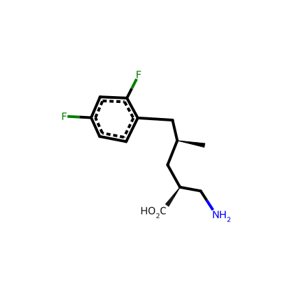 C[C@H](Cc1ccc(F)cc1F)C[C@@H](CN)C(=O)O